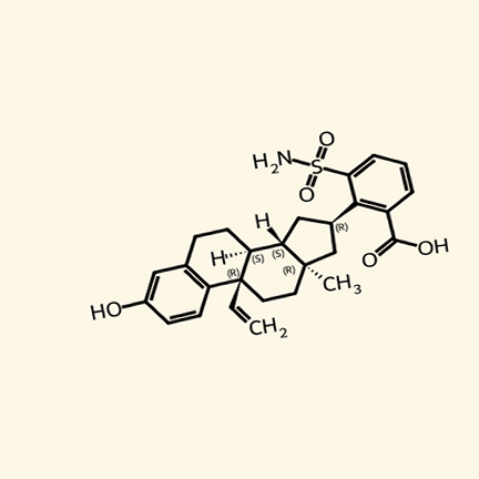 C=C[C@]12CC[C@]3(C)C[C@H](c4c(C(=O)O)cccc4S(N)(=O)=O)C[C@H]3[C@@H]1CCc1cc(O)ccc12